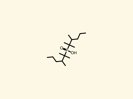 CCCC(C)C(C)(C)P(=O)(O)C(C)(C)C(C)CCC